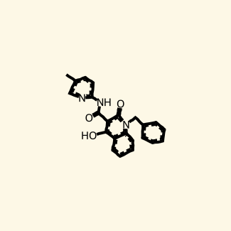 Cc1ccc(NC(=O)c2c(O)c3ccccc3n(Cc3ccccc3)c2=O)nc1